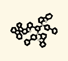 C1=Cc2c(oc3c(N(c4ccc(-c5ccccc5)cc4)c4cc(-c5cccc6c5oc5ccc7c(c56)-c5ccccc5C75c6ccccc6-c6ccccc65)cc(N(c5ccc(-c6ccccc6)cc5)c5cccc6c5oc5ccccc56)c4)cccc23)CC1